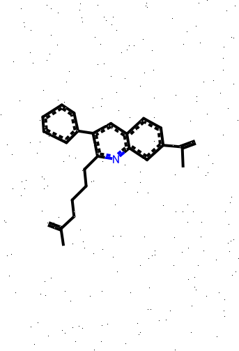 C=C(C)CCCCc1nc2cc(C(=C)C)ccc2cc1-c1ccccc1